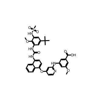 COc1cc(Nc2cc(Oc3ccc(NC(=O)Nc4cc(C(C)(C)C)cc(NS(C)(=O)=O)c4OC)c4ccccc34)ccn2)cc(C(=O)O)c1